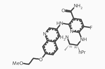 CCC[C@@H](Nc1nc(Nc2cnc3cc(OCCOC)ccc3c2)c(C(N)=O)cc1F)[C@H](C)N